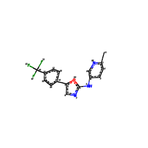 Cc1ccc(Nc2ncc(-c3ccc(C(F)(F)F)cc3)o2)cn1